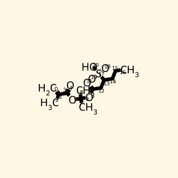 C=C(C)C(=O)OC(C)(C)OC(=O)CC(CCC)S(=O)(=O)O